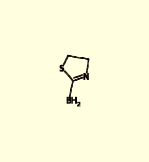 BC1=NCCS1